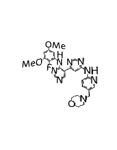 COc1cc(Nc2ncncc2-c2cc(Nc3ccc(CN4CCOCC4)cn3)ncn2)c(F)c(OC)c1